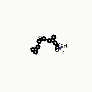 C=Cc1c(/C=C\C)oc2cc3c4ccccc4c4cc(-c5ccc6oc7ccc(-c8ccc9c(c8)-c8cccc%10cccc-9c8%10)cc7c6c5)ccc4c3cc12